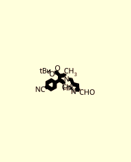 Cc1c(C(=O)OC(C)(C)C)c(-c2ccc(C#N)cc2)c(C)n1Cc1cc(C=O)n[nH]1